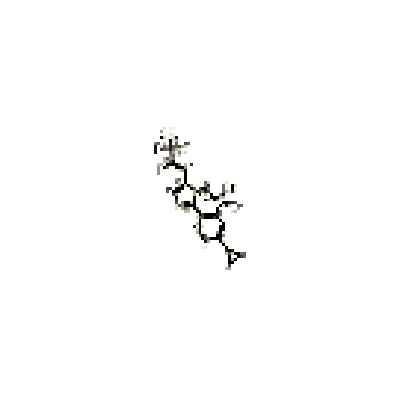 CCS(=O)(=O)c1cc(C2CC2)cnc1-c1ncc(/C=C(\F)C(F)(F)C(F)(F)F)n1C